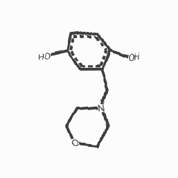 Oc1ccc(O)c(CN2CCOCC2)c1